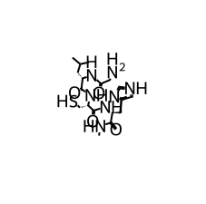 CNC(=O)[C@H](Cc1c[nH]cn1)NC(=O)[C@H](CS)NC(=O)[C@H](CC(C)C)NC(=O)CN